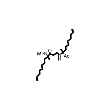 C=CCCCCCC[C@@](C)(NCCC(=O)[C@](C)(CCCCCCC=C)NC)C(C)=O